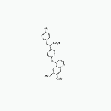 COc1cc2nccc(Oc3ccc(N(Cc4ccc(C(C)(C)C)cc4)C(=O)O)cc3)c2cc1OC